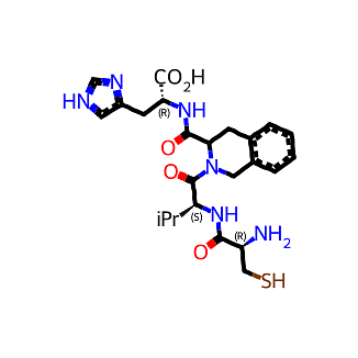 CC(C)[C@H](NC(=O)[C@@H](N)CS)C(=O)N1Cc2ccccc2CC1C(=O)N[C@H](Cc1c[nH]cn1)C(=O)O